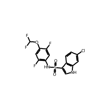 O=S(=O)(Nc1cc(F)c(OC(F)F)cc1F)c1c[nH]c2cc(Cl)ccc12